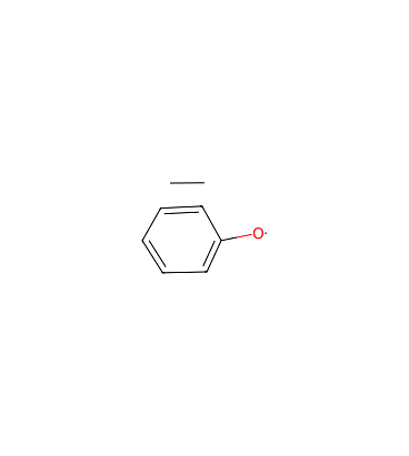 CC.[O]c1ccccc1